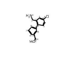 NCc1cc(Cl)ccc1-c1cccc(CO)c1